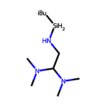 CCC(C)[SiH2]NCC(N(C)C)N(C)C